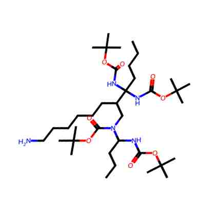 CCCCC(NC(=O)OC(C)(C)C)(NC(=O)OC(C)(C)C)C(CCCCCCN)CN(C(=O)OC(C)(C)C)C(CCC)NC(=O)OC(C)(C)C